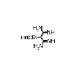 CCC(C(=N)N)C(=N)N.Cl.Cl